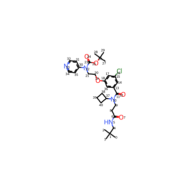 CC(C)(C)CNC(=O)CCN(C(=O)c1cc(Cl)cc(OCCN(C(=O)OC(C)(C)C)c2ccncc2)c1)C1CCC1